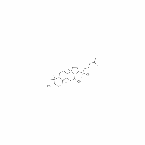 CC(C)CCC[C@@](C)(O)C1CC[C@]2(C)C1[C@H](O)CC1[C@@]3(C)CC[C@H](O)C(C)(C)C3CC[C@]12C